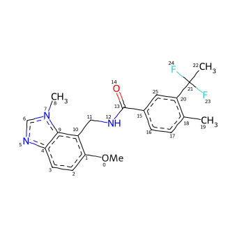 COc1ccc2ncn(C)c2c1CNC(=O)c1ccc(C)c(C(C)(F)F)c1